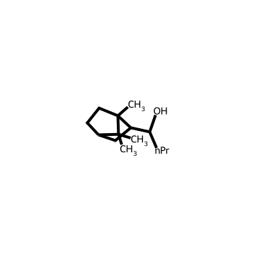 CCCC(O)C1CC2CCC1(C)C2(C)C